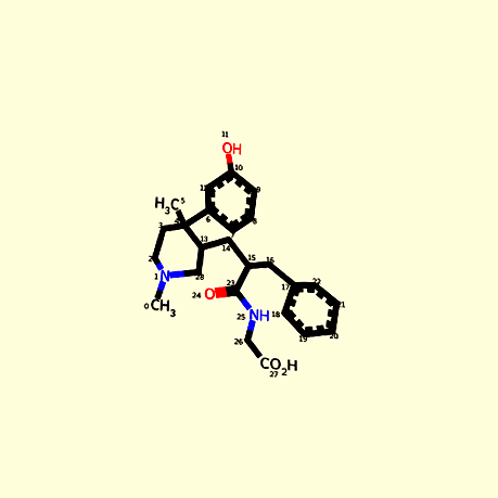 CN1CCC(C)(c2cccc(O)c2)C(CC(Cc2ccccc2)C(=O)NCC(=O)O)C1